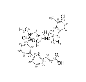 CN(C[C@H](O)CNC(C)(C)Cc1ccc(Cl)c(F)c1)S(=O)(=O)c1cccc(-c2cccc(C=CC(=O)O)c2)c1